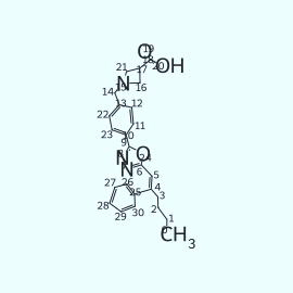 CCCCC(=Cc1nnc(-c2ccc(CN3CC(C(=O)O)C3)cc2)o1)c1ccccc1